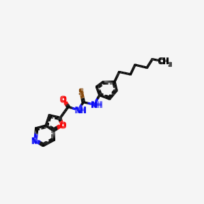 CCCCCCc1ccc(NC(=S)NC(=O)c2cc3cnccc3o2)cc1